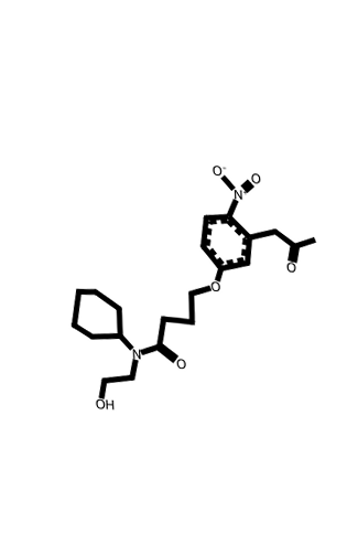 CC(=O)Cc1cc(OCCCC(=O)N(CCO)C2CCCCC2)ccc1[N+](=O)[O-]